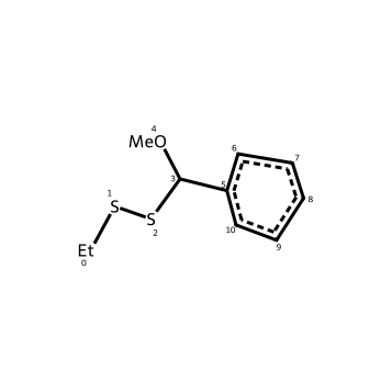 CCSSC(OC)c1ccccc1